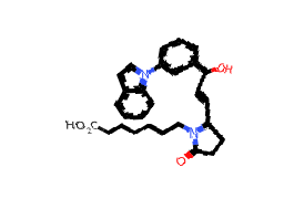 O=C(O)CCCCCCN1C(=O)CCC1C=CC(O)c1cccc(-n2ccc3ccccc32)c1